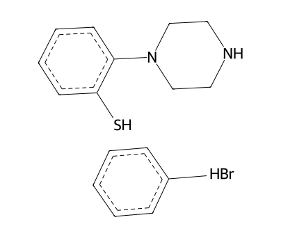 Br.Cc1ccccc1.Sc1ccccc1N1CCNCC1